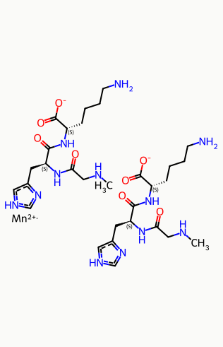 CNCC(=O)N[C@@H](Cc1c[nH]cn1)C(=O)N[C@@H](CCCCN)C(=O)[O-].CNCC(=O)N[C@@H](Cc1c[nH]cn1)C(=O)N[C@@H](CCCCN)C(=O)[O-].[Mn+2]